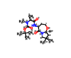 C[C@@H](C(=O)N[C@H]1CCO[C@H]2CC(C)(C)CN2C1=O)N(C)C(=O)OC(C)(C)C